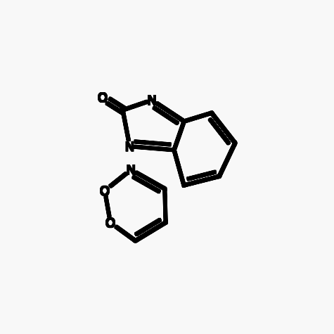 C1=COON=C1.O=C1N=c2ccccc2=N1